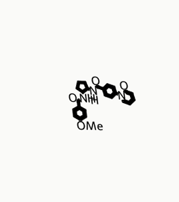 COc1ccc(C(=O)N[C@H]2CCCC2NC(=O)c2ccc(-n3ccccc3=O)cc2)cc1